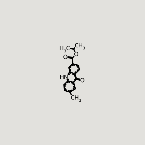 Cc1ccc2[nH]c3cc(C(=O)OC(C)C)ccc3c(=O)c2c1